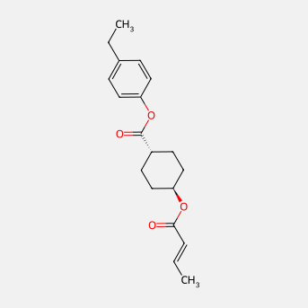 CC=CC(=O)O[C@H]1CC[C@H](C(=O)Oc2ccc(CC)cc2)CC1